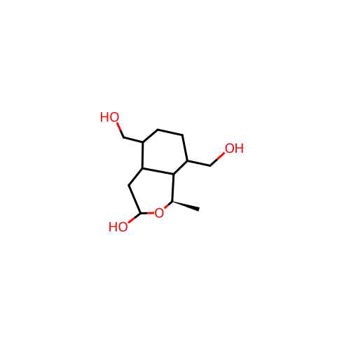 C[C@H]1OC(O)CC2C(CO)CCC(CO)C21